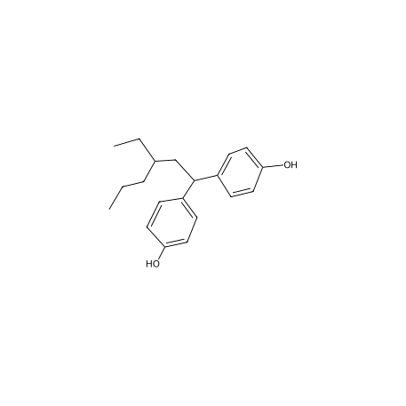 CCCC(CC)CC(c1ccc(O)cc1)c1ccc(O)cc1